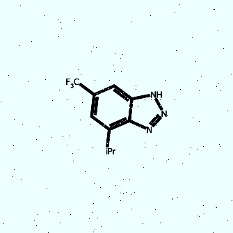 CC(C)c1cc(C(F)(F)F)cc2[nH]nnc12